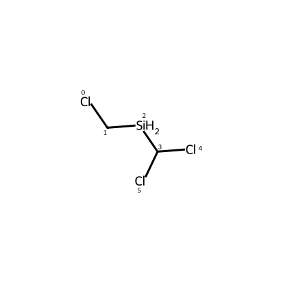 ClC[SiH2]C(Cl)Cl